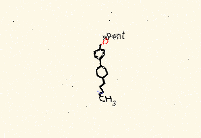 C/C=C/CCC1CCC(c2ccc(COCCCCC)cc2)CC1